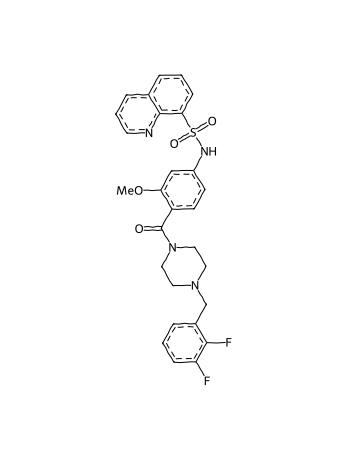 COc1cc(NS(=O)(=O)c2cccc3cccnc23)ccc1C(=O)N1CCN(Cc2cccc(F)c2F)CC1